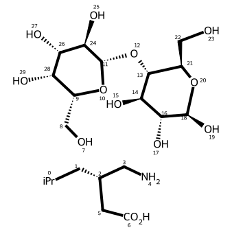 CC(C)C[C@H](CN)CC(=O)O.OC[C@H]1O[C@@H](O[C@H]2[C@H](O)[C@@H](O)[C@H](O)O[C@@H]2CO)[C@H](O)[C@@H](O)[C@H]1O